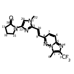 Cc1c(C(F)(F)F)nc2ccc(C=Cc3nc(N4CCCC4=O)cn3C)nn12